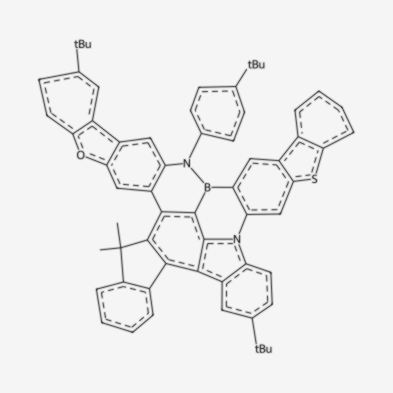 CC(C)(C)c1ccc(N2B3c4cc5c(cc4-n4c6ccc(C(C)(C)C)cc6c6c7c(c(c3c64)-c3cc4oc6ccc(C(C)(C)C)cc6c4cc32)C(C)(C)c2ccccc2-7)sc2ccccc25)cc1